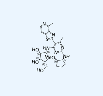 CO[C@@H]1CCC[C@@H]1Nc1nc(C)c(-c2nc3c(C)nccc3s2)c(N[C@@H]2C[C@H](CO)[C@@H](O)[C@H]2O)n1